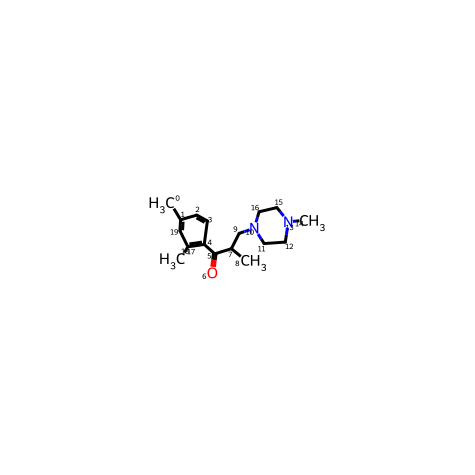 Cc1ccc(C(=O)C(C)CN2CCN(C)CC2)c(C)c1